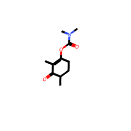 CC1=C(OC(=O)N(C)C)CCC(C)C1=O